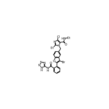 CCNC(=O)c1c(Cl)nc(CC)n1Cc1ccc2oc(-c3ccccc3C(=O)Nc3nnn[nH]3)c(Br)c2c1